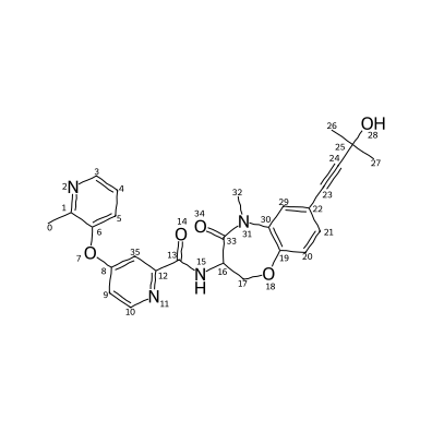 Cc1ncccc1Oc1ccnc(C(=O)NC2COc3ccc(C#CC(C)(C)O)cc3N(C)C2=O)c1